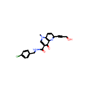 Cn1cc(C(=O)NCc2ccc(Cl)cc2)c(=O)c2nc(C#CCO)ccc21